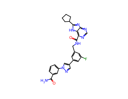 NC(=O)c1cccc(-n2cc(-c3cc(F)cc(CNC(=O)c4ncnc5nc(C6CCCC6)[nH]c45)c3)cn2)c1